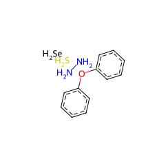 NN.S.[SeH2].c1ccc(Oc2ccccc2)cc1